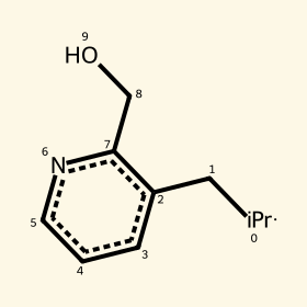 C[C](C)Cc1cccnc1CO